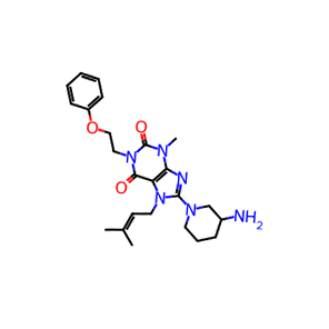 CC(C)=CCn1c(N2CCCC(N)C2)nc2c1c(=O)n(CCOc1ccccc1)c(=O)n2C